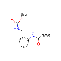 CNC(=O)Nc1ccccc1CNC(=O)OC(C)(C)C